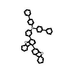 c1ccc(-c2ccc(N(c3ccc(-c4ccccc4)cc3)c3cccc(-c4ccc(-c5ccc6c(c5)oc5ccccc56)c5c4oc4ccccc45)c3)cc2)cc1